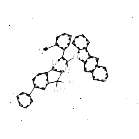 CC1(C)c2cc(-c3ccccc3)ccc2-c2nc(-c3ccccc3C#N)c(-n3c4ccccc4c4cc5ccccc5cc43)nc21